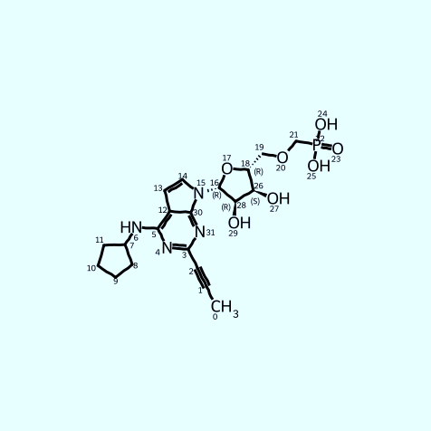 CC#Cc1nc(NC2CCCC2)c2ccn([C@@H]3O[C@H](COCP(=O)(O)O)[C@@H](O)[C@H]3O)c2n1